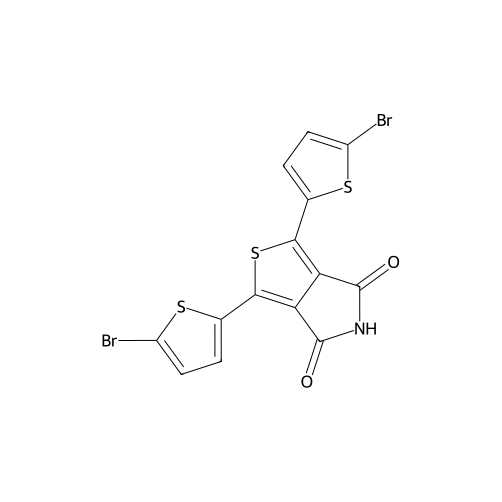 O=C1NC(=O)c2c(-c3ccc(Br)s3)sc(-c3ccc(Br)s3)c21